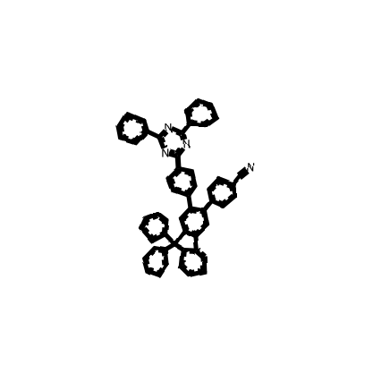 N#Cc1ccc(-c2cc3c(cc2-c2ccc(-c4nc(-c5ccccc5)nc(-c5ccccc5)n4)cc2)C(c2ccccc2)(c2ccccc2)c2ccccc2-3)cc1